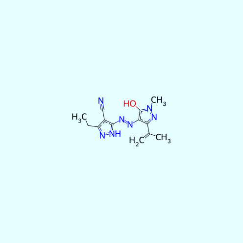 C=C(C)c1nn(C)c(O)c1/N=N/c1[nH]nc(CC)c1C#N